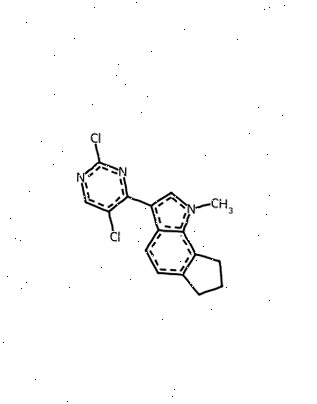 Cn1cc(-c2nc(Cl)ncc2Cl)c2ccc3c(c21)CCC3